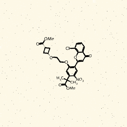 COC(=O)C(C)(C)c1cc(OCCO[C@H]2C[C@@H](C(=O)OC)C2)c(-c2cc(=O)c3cccc(Cl)c3o2)cc1[N+](=O)[O-]